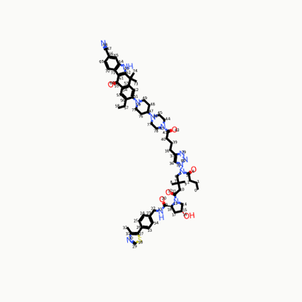 CCCC(=O)N(CC(C)(C)CC(=O)N1C[C@H](O)C[C@H]1C(=O)NCc1ccc(-c2scnc2C)cc1)n1cc(CCCC(=O)N2CCN(C3CCN(c4cc5c(cc4CC)C(=O)c4c([nH]c6cc(C#N)ccc46)C5(C)C)CC3)CC2)nn1